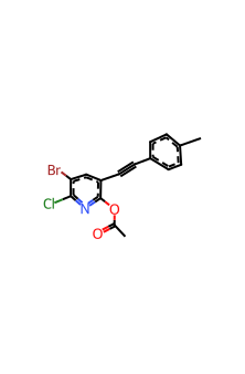 CC(=O)Oc1nc(Cl)c(Br)cc1C#Cc1ccc(C)cc1